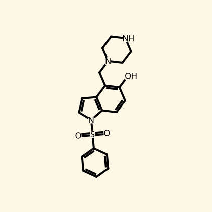 O=S(=O)(c1ccccc1)n1ccc2c(CN3CCNCC3)c(O)ccc21